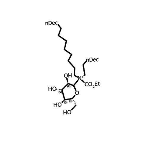 CCCCCCCCCCCCCCCCCC[N+](CCCCCCCCCCCC)(C(=O)OCC)C1O[C@H](CO)[C@@H](O)[C@H](O)[C@H]1O